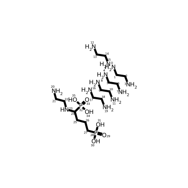 NCCN.NCCN.NCCN.NCCN.NCCN.NCCNC(CCCP(=O)(O)O)P(=O)(O)O